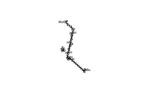 COC(=O)CCOCCOCC[N+](C)(C)CCNC(=O)COCCOCCNC(=O)COCCOCCNC(=O)CCC(CS(=O)(=O)O)NC(=O)CCCCCCCCCCCCCCCCC(=O)OC(C)(C)C.O=C([O-])C(F)(F)F